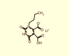 CCCCn1c(C(=O)[O-])c(C(=O)O)c(=O)[nH]c1=O.[Li+]